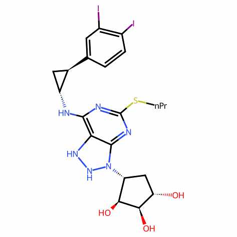 CCCSc1nc(N[C@@H]2C[C@H]2c2ccc(I)c(I)c2)c2c(n1)N([C@@H]1C[C@H](O)[C@@H](O)[C@H]1O)NN2